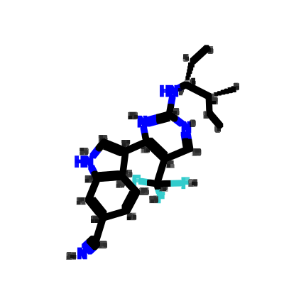 CC[C@@H](C)[C@@H](CC)Nc1ncc(C(F)(F)F)c(-c2c[nH]c3cc(C#N)ccc23)n1